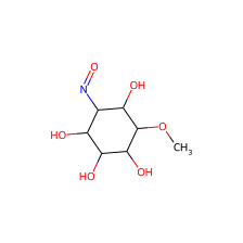 COC1C(O)C(O)C(O)C(N=O)C1O